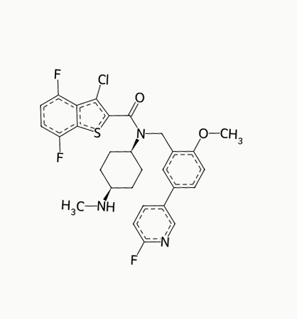 CN[C@H]1CC[C@@H](N(Cc2cc(-c3ccc(F)nc3)ccc2OC)C(=O)c2sc3c(F)ccc(F)c3c2Cl)CC1